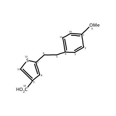 COc1ccc(CCc2cc(C(=O)O)cs2)cc1